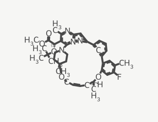 COC(=O)[C@@H](OC(C)(C)C)c1c(C)nc2cc3nn2c1N1CCC(C)(CC1)OCC=CC[C@H](C)Oc1cc(F)c(C)cc1-c1cccc-3c1